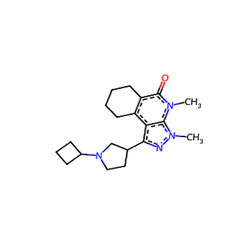 Cn1nc(C2CCN(C3CCC3)C2)c2c3c(c(=O)n(C)c21)CCCC3